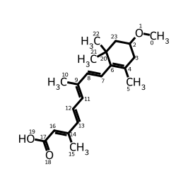 COC1CC(C)=C(C=CC(C)=CC=CC(C)=CC(=O)O)C(C)(C)C1